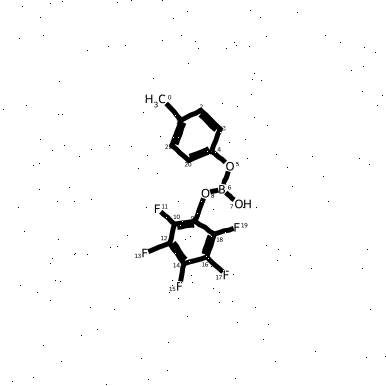 Cc1ccc(OB(O)Oc2c(F)c(F)c(F)c(F)c2F)cc1